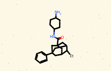 CCC1C2CC3(C(=O)NC4CCC(N)CC4)CC1CC(c1ccccc1)(C2)C3